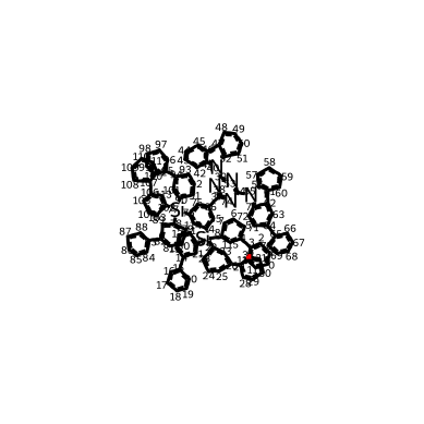 c1ccc(-c2cccc([Si](c3cccc(-c4ccccc4)c3)(c3cccc(-c4ccccc4)c3)c3cc(-c4nc(-n5c6ccccc6c6ccccc65)nc(-n5c6ccccc6c6cc(-c7ccccc7)ccc65)n4)cc([Si](c4cccc(-c5ccccc5)c4)(c4cccc(-c5ccccc5)c4)c4cccc(-c5ccccc5)c4)c3)c2)cc1